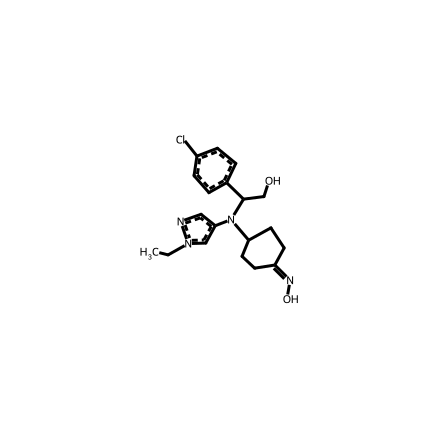 CCn1cc(N(C2CCC(=NO)CC2)C(CO)c2ccc(Cl)cc2)cn1